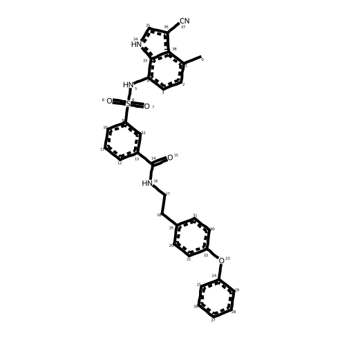 Cc1ccc(NS(=O)(=O)c2cccc(C(=O)NCCc3ccc(Oc4ccccc4)cc3)c2)c2[nH]cc(C#N)c12